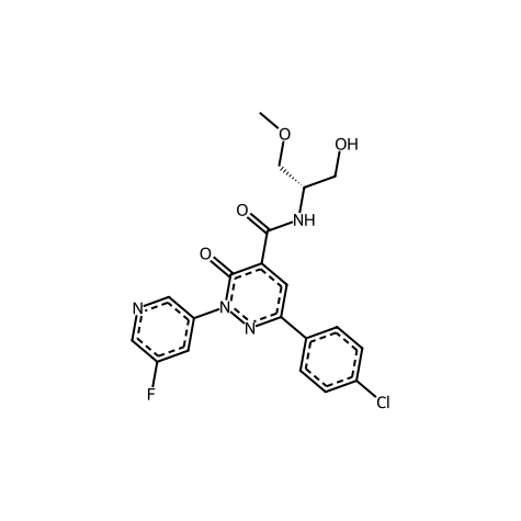 COC[C@H](CO)NC(=O)c1cc(-c2ccc(Cl)cc2)nn(-c2cncc(F)c2)c1=O